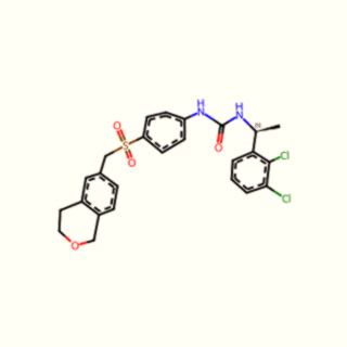 C[C@H](NC(=O)Nc1ccc(S(=O)(=O)Cc2ccc3c(c2)CCOC3)cc1)c1cccc(Cl)c1Cl